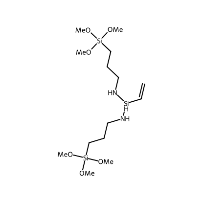 C=C[SiH](NCCC[Si](OC)(OC)OC)NCCC[Si](OC)(OC)OC